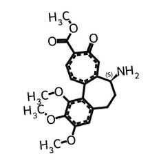 COC(=O)c1ccc2c(cc1=O)[C@@H](N)CCc1cc(OC)c(OC)c(OC)c1-2